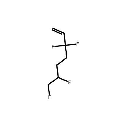 C=CC(F)(F)CCC(F)CF